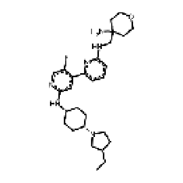 CCC1CCN([C@H]2CC[C@H](Nc3cc(-c4cccc(NCC5(N)CCOCC5)n4)c(F)cn3)CC2)C1